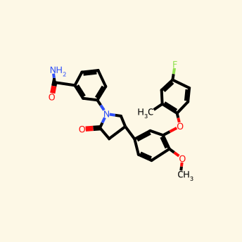 COc1ccc(C2CC(=O)N(c3cccc(C(N)=O)c3)C2)cc1Oc1ccc(F)cc1C